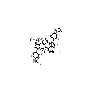 CCCCCCCc1c2c(=O)n3c(-c4ccc([N+](=O)[O-])cc4)ccc3c(CCCCCCC)c2c(=O)n2c(-c3ccc([N+](=O)[O-])cc3)ccc12